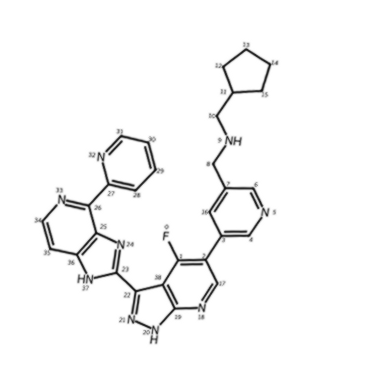 Fc1c(-c2cncc(CNCC3CCCC3)c2)cnc2[nH]nc(-c3nc4c(-c5ccccn5)nccc4[nH]3)c12